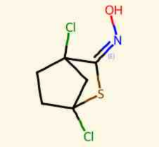 O/N=C1/SC2(Cl)CCC1(Cl)C2